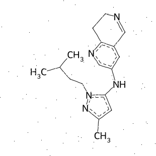 Cc1cc(Nc2cnc3c(c2)C=NCC3)n(CCC(C)C)n1